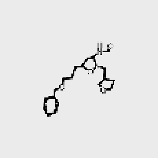 O=CNC1CC(CCCOCc2ccccc2)ON1CC1CCOC1